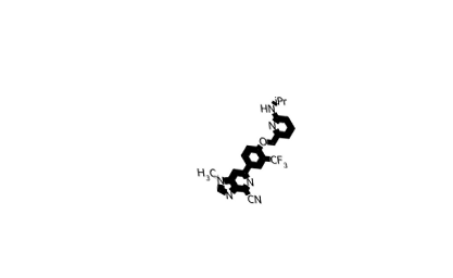 CC(C)Nc1cccc(COc2ccc(-c3cc4c(ncn4C)c(C#N)n3)cc2C(F)(F)F)n1